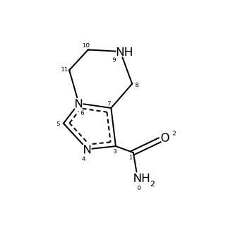 NC(=O)c1ncn2c1CNCC2